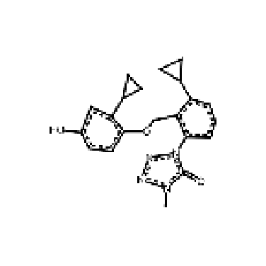 Cn1nnn(-c2cccc(C3CC3)c2COc2ccc(O)cc2C2CC2)c1=O